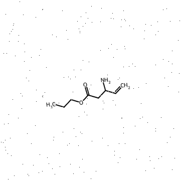 C=CC(N)CC(=O)OCCC